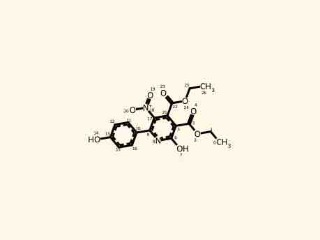 CCOC(=O)c1c(O)nc(-c2ccc(O)cc2)c([N+](=O)[O-])c1C(=O)OCC